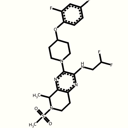 CC1c2nc(N3CCC(Oc4ccc(F)cc4F)CC3)c(NCC(F)F)nc2CCN1S(C)(=O)=O